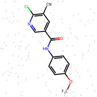 N#Cc1cc(C(=O)Nc2ccc(OC(F)(F)F)cc2)cnc1Cl